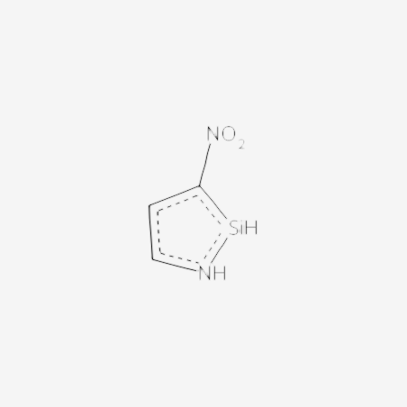 O=[N+]([O-])c1cc[nH][siH]1